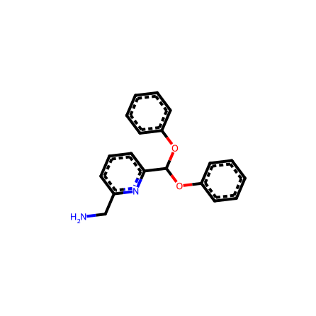 NCc1cccc(C(Oc2ccccc2)Oc2ccccc2)n1